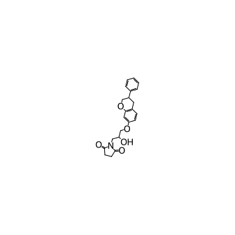 O=C1CCC(=O)N1CC(O)COc1ccc2c(c1)OCC(c1ccccc1)C2